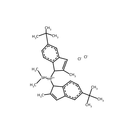 CC1=Cc2cc(C(C)(C)C)ccc2[CH]1[Hf+2]([CH]1C(C)=Cc2cc(C(C)(C)C)ccc21)[SiH](C)C.[Cl-].[Cl-]